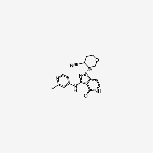 N#CC1CCOC[C@@H]1n1nc(Nc2ccnc(F)c2)c2c(=O)[nH]ccc21